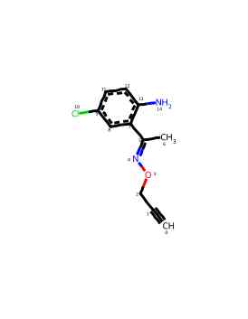 C#CCO/N=C(\C)c1cc(Cl)ccc1N